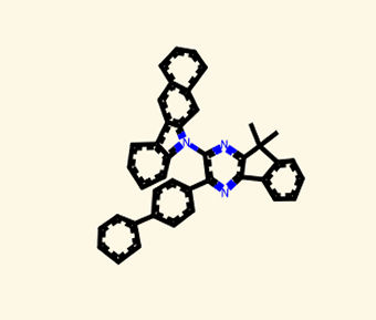 CC1(C)c2ccccc2-c2nc(-c3ccc(-c4ccccc4)cc3)c(-n3c4ccccc4c4cc5ccccc5cc43)nc21